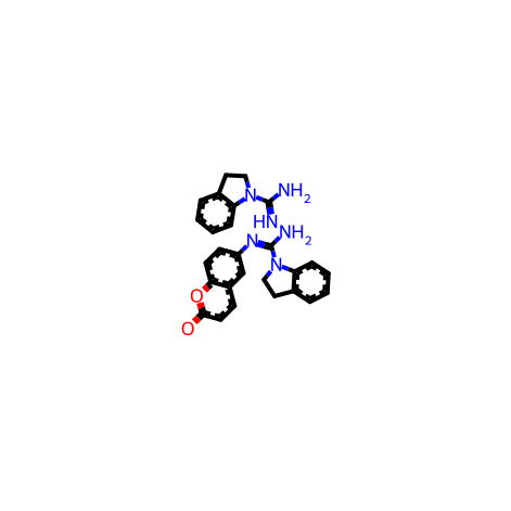 N=C(N)N1CCc2ccccc21.NC(=Nc1ccc2oc(=O)ccc2c1)N1CCc2ccccc21